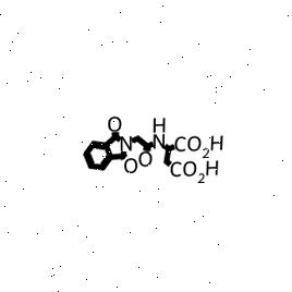 O=C(O)CC(NC(=O)CN1C(=O)c2ccccc2C1=O)C(=O)O